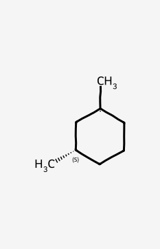 C[C]1CCC[C@H](C)C1